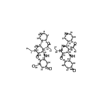 CCn1nc(-c2cccnc2)c(C(C)=O)c(Nc2cc(Cl)cc(Cl)c2)c1=O.CCn1nc(-c2cccnc2)c(C(C)=O)c(Nc2cccc(Cl)c2)c1=O